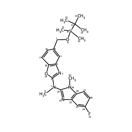 CN(c1nc2cc(CO[Si](C)(C)C(C)(C)C)ccc2o1)c1nc2cc(F)ccc2n1C